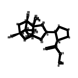 CC(C)(C)OC(=O)N1CCCC1B1OC2C[C@@H]3C[C@@H](C3(C)C)[C@]2(C)O1